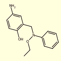 CCON(Cc1cc(N)ccc1O)c1ccccc1